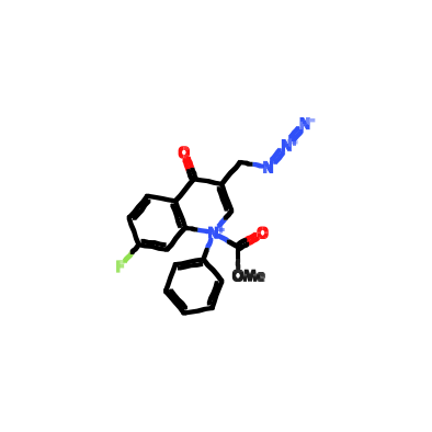 COC(=O)[N+]1(c2ccccc2)C=C(CN=[N+]=[N-])C(=O)c2ccc(F)cc21